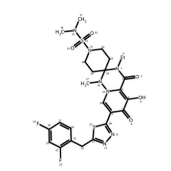 CCN1C(=O)c2c(O)c(=O)c(-c3nnc(Cc4ccc(F)cc4F)s3)cn2N(C)C12CCN(S(=O)(=O)N(C)C)CC2